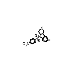 Cc1ccc2c(c1)C1CN(C)CCC1N2S(=O)(=O)c1ccc([N+](=O)[O-])cc1